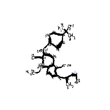 C=C(/C=C\CC)c1ccc2c(cc(Nc3ccc(C(C)(O)C(F)(F)F)cn3)c(=O)n2C)c1F